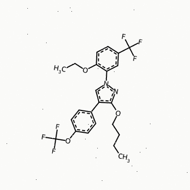 CCCCOc1nn(-c2cc(C(F)(F)F)ccc2OCC)cc1-c1ccc(OC(F)(F)F)cc1